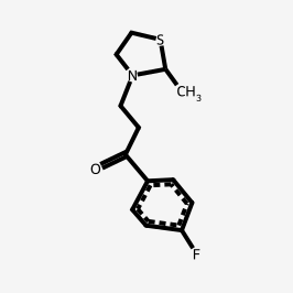 CC1SCCN1CCC(=O)c1ccc(F)cc1